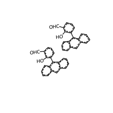 O=Cc1cccc(-c2c3ccccc3cc3ccccc23)c1O.O=Cc1cccc(-c2c3ccccc3cc3ccccc23)c1O